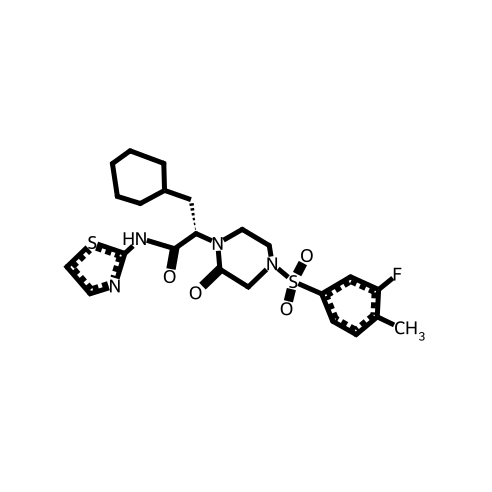 Cc1ccc(S(=O)(=O)N2CCN([C@@H](CC3CCCCC3)C(=O)Nc3nccs3)C(=O)C2)cc1F